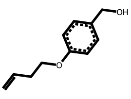 C=CCCOc1ccc(CO)cc1